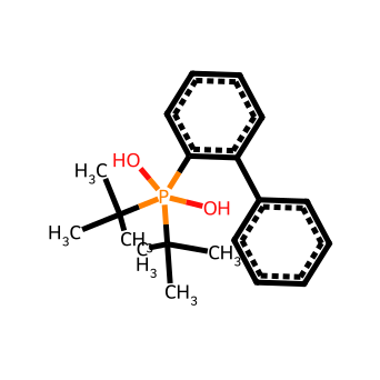 CC(C)(C)P(O)(O)(c1ccccc1-c1ccccc1)C(C)(C)C